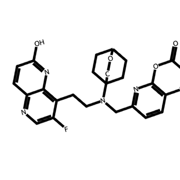 O=C1CNc2ccc(CN(CCc3c(F)cnc4ccc(O)nc34)C34CCC(CC3)OC4)nc2O1